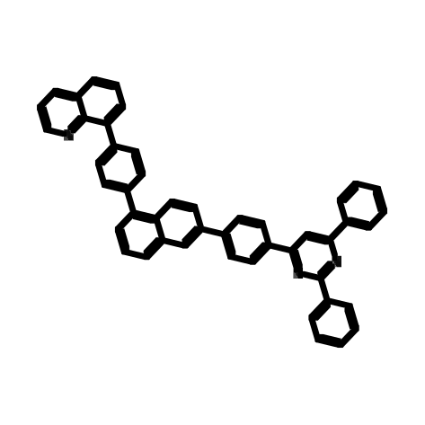 c1ccc(-c2cc(-c3ccc(-c4ccc5c(-c6ccc(-c7cccc8cccnc78)cc6)cccc5c4)cc3)nc(-c3ccccc3)n2)cc1